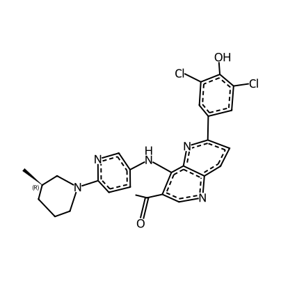 CC(=O)c1cnc2ccc(-c3cc(Cl)c(O)c(Cl)c3)nc2c1Nc1ccc(N2CCC[C@@H](C)C2)nc1